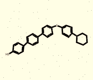 Sc1ccc(-c2ccc(-c3ccc(Sc4ccc(C5CCCCC5)cc4)cc3)cc2)cc1